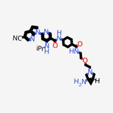 CC(C)Nc1cc(-n2ccc3cc(C#N)cnc32)ncc1C(=O)NC1CCC(C(=O)NCCOCCN2C[C@H]3C[C@@]3(N)C2)CC1